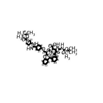 CC(C)(C)OC(=O)Nc1nc(/C(=N/OC(COc2ccc(C(=N)N[C@@H]3CCN(C(=O)OC(C)(C)C)C3)cc2)C(=O)OC(c2ccccc2)c2ccccc2)C(=O)O)c(C(F)(F)F)s1